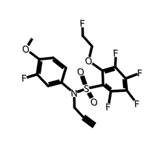 C#CCN(c1ccc(OC)c(F)c1)S(=O)(=O)c1c(F)c(F)c(F)c(F)c1OCCF